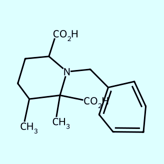 CC1CCC(C(=O)O)N(Cc2ccccc2)C1(C)C(=O)O